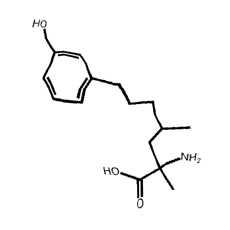 CC(CCCc1cccc(O)c1)CC(C)(N)C(=O)O